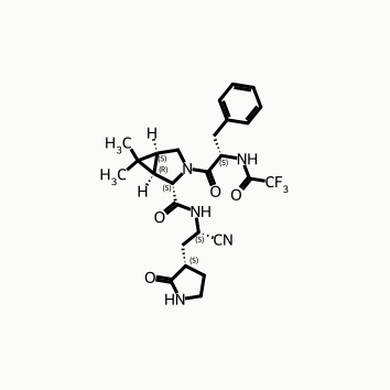 CC1(C)[C@@H]2[C@@H](C(=O)N[C@H](C#N)C[C@@H]3CCNC3=O)N(C(=O)[C@H](Cc3ccccc3)NC(=O)C(F)(F)F)C[C@@H]21